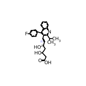 CC(C)c1nc2ccccc2c(-c2ccc(F)cc2)c1/C=C/[C@@H](O)CC(O)CC(=O)O